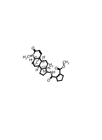 COC(=O)C1=C(C(=O)NC2CC[C@H]3[C@@H]4CC[C@H]5N(C)C(=O)C=C[C@]5(C)[C@H]4CC[C@]23C)CCC1